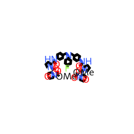 COC(=O)N1CCOC[C@H]1C(=O)N1CCC[C@H]1C(=O)Nc1ccc(CN(Cc2ccc(NC(=O)[C@@H]3CCCN3C(=O)[C@@H]3COCCN3C(=O)OC)cc2)c2ccc(F)cc2)cc1